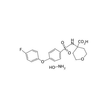 NO.O=C(O)C1(NS(=O)(=O)c2ccc(Oc3ccc(F)cc3)cc2)CCOCC1